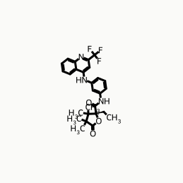 CC[C@@]1(C(=O)Nc2cccc(Nc3cc(C(F)(F)F)nc4ccccc34)c2)OC(=O)C(C)(C)C1(C)C